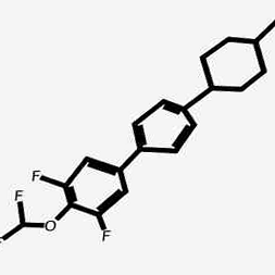 Fc1cc(-c2ccc(C3CCC(I)CC3)cc2)cc(F)c1OC(F)F